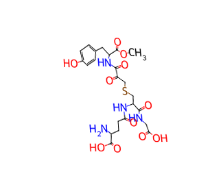 COC(=O)C(Cc1ccc(O)cc1)NC(=O)C(=O)CSCC(NC(=O)CCC(N)C(=O)O)C(=O)NCC(=O)O